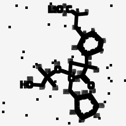 CCOC(=O)C(C)Cc1cccc(C(C)(CCOC(C)(C)CO)C(=O)OCc2ccccc2)c1